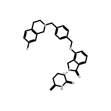 C=C1CC[C@H](N2Cc3c(OCc4ccc(CN5CCc6ccc(F)cc6C5)cc4)cccc3C2=O)C(=O)N1